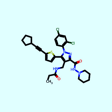 CCC(=O)NCc1c(C(=O)NN2CCCCC2)nn(-c2ccc(Cl)cc2Cl)c1-c1ccc(C#CC2CCCC2)s1